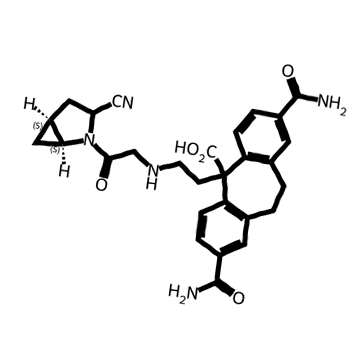 N#CC1C[C@@H]2C[C@@H]2N1C(=O)CNCCC1(C(=O)O)c2ccc(C(N)=O)cc2CCc2cc(C(N)=O)ccc21